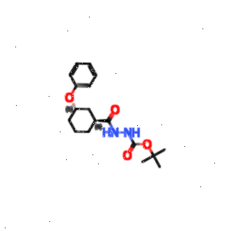 CC(C)(C)OC(=O)NNC(=O)[C@H]1CCC[C@H](Oc2ccccc2)C1